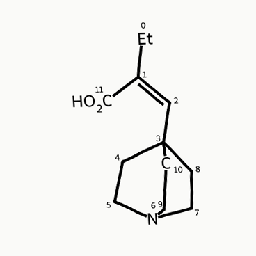 CCC(=CC12CCN(CC1)CC2)C(=O)O